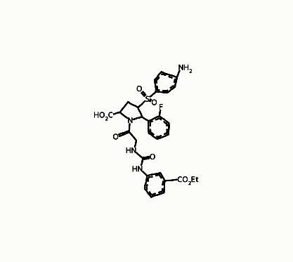 CCOC(=O)c1cccc(NC(=O)NCC(=O)N2C(C(=O)O)CC(S(=O)(=O)c3ccc(N)cc3)C2c2ccccc2F)c1